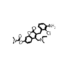 CCN(C)Cc1c(Cc2cccc(N)c2Cl)c(=O)oc2cc(OC(=O)N(C)C)ccc12